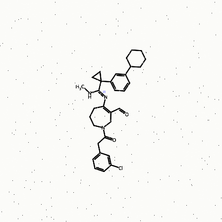 CN/C(=N\C1=C(C=O)CN(C(=O)Cc2cccc(Cl)c2)CCC1)C1(c2cccc(C3CCCCC3)c2)CC1